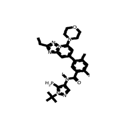 CCc1nc2cc(-c3cc(C(=O)N(I)c4cnn(C(C)(C)C)c4P)c(I)cc3C)cc(N3CCOCC3)n2n1